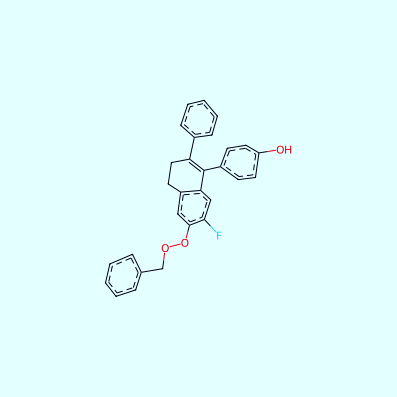 Oc1ccc(C2=C(c3ccccc3)CCc3cc(OOCc4ccccc4)c(F)cc32)cc1